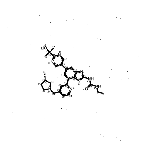 CCNC(=O)Nc1nc2cc(-c3cnc(C(C)(C)O)nc3)cc(-c3cc(CN4CC[C@@H](F)C4)ccn3)c2s1